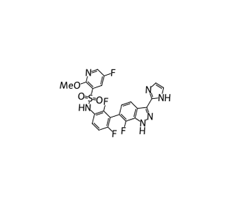 COc1ncc(F)cc1S(=O)(=O)Nc1ccc(F)c(-c2ccc3c(-c4ncc[nH]4)n[nH]c3c2F)c1F